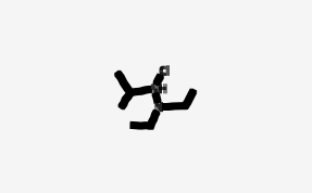 CCN(CC)[SiH](Cl)C(C)C